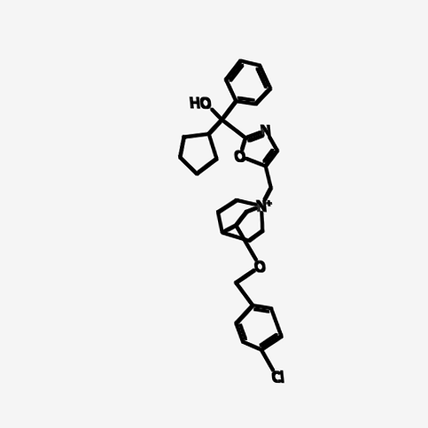 OC(c1ccccc1)(c1ncc(C[N+]23CCC(CC2)C(OCc2ccc(Cl)cc2)C3)o1)C1CCCC1